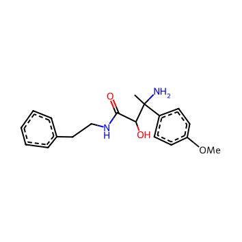 COc1ccc(C(C)(N)C(O)C(=O)NCCc2ccccc2)cc1